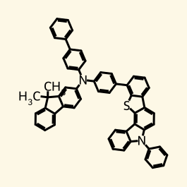 CC1(C)c2ccccc2-c2ccc(N(c3ccc(-c4ccccc4)cc3)c3ccc(-c4cccc5c4sc4c5ccc5c4c4ccccc4n5-c4ccccc4)cc3)cc21